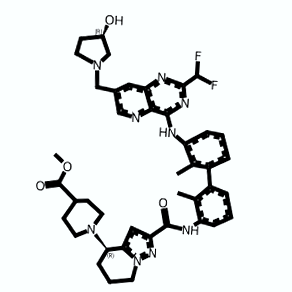 COC(=O)C1CCN([C@@H]2CCCn3nc(C(=O)Nc4cccc(-c5cccc(Nc6nc(C(F)F)nc7cc(CN8CC[C@@H](O)C8)cnc67)c5C)c4C)cc32)CC1